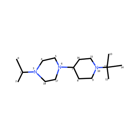 CC(C)N1CCN(C2CCN(C(C)(C)C)CC2)CC1